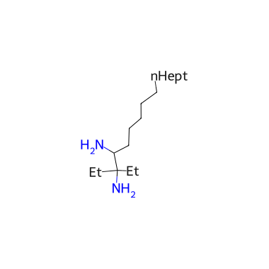 CCCCCCCCCCCCC(N)C(N)(CC)CC